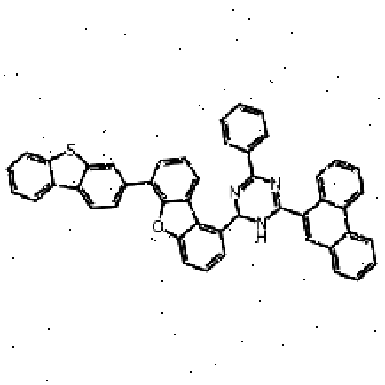 c1ccc(C2=NC(c3cccc4oc5c(-c6ccc7c(c6)sc6ccccc67)cccc5c34)NC(c3cc4ccccc4c4ccccc34)=N2)cc1